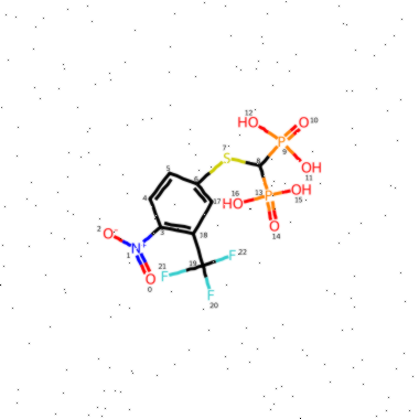 O=[N+]([O-])c1ccc(SC(P(=O)(O)O)P(=O)(O)O)cc1C(F)(F)F